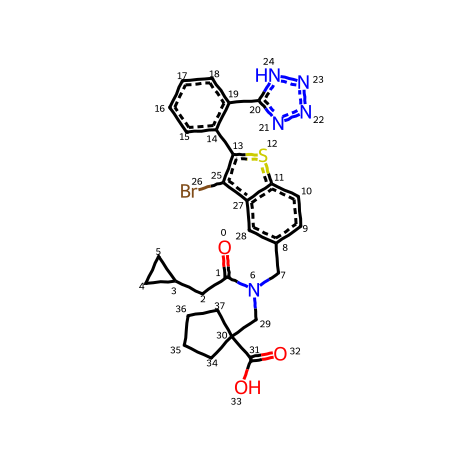 O=C(CC1CC1)N(Cc1ccc2sc(-c3ccccc3-c3nnn[nH]3)c(Br)c2c1)CC1(C(=O)O)CCCC1